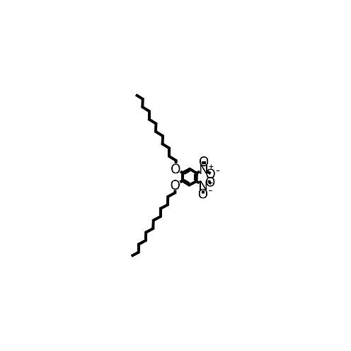 CCCCCCCCCCCCOc1cc([N+](=O)[O-])c([N+](=O)[O-])cc1OCCCCCCCCCCCC